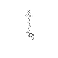 CC(C)(C)OC(=O)NCCOCCOCCNc1cnc(Cl)cn1